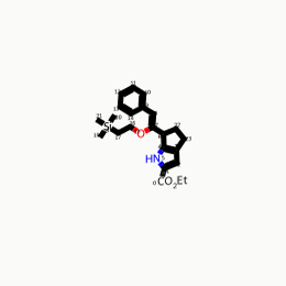 CCOC(=O)c1cc2c([nH]1)C(C(=Cc1ccccc1)OCC[Si](C)(C)C)CC2